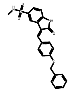 CNS(=O)(=O)c1ccc2c(c1)C(=Cc1ccc(OCc3ccccc3)cc1)C(=O)N2